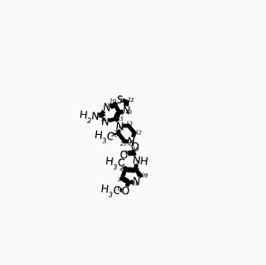 COc1cc(C)c(NC(=O)ON2CCN(c3nc(N)nc4scnc34)[C@@H](C)C2)cn1